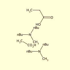 CC(=O)O.CCC(=O)O.CCCCN(C)CCCC.CCCCN(C)CCCC